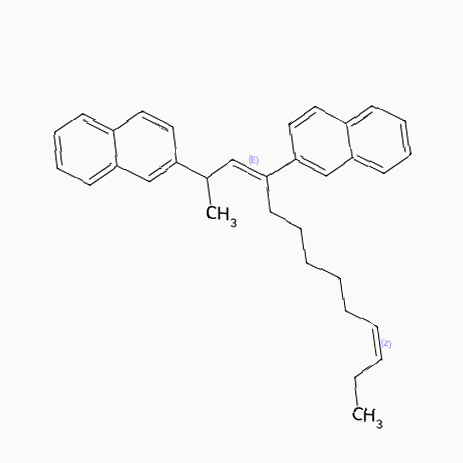 CC/C=C\CCCCC/C(=C\C(C)c1ccc2ccccc2c1)c1ccc2ccccc2c1